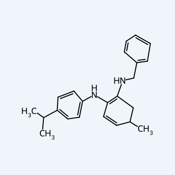 CC1C=CC(Nc2ccc(C(C)C)cc2)=C(NCc2ccccc2)C1